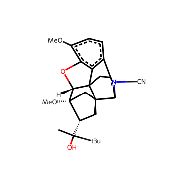 COc1ccc2c3c1O[C@@H]1C34CCN(C#N)C(C2)[C@@]42C[C@H](C(C)(O)C(C)(C)C)[C@]1(OC)C2